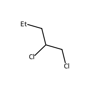 [CH2]CCC(Cl)CCl